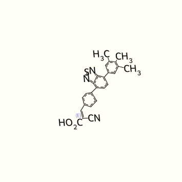 Cc1cc(-c2ccc(-c3ccc(/C=C(\C#N)C(=O)O)cc3)c3nsnc23)cc(C)c1C